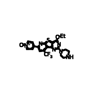 CCOc1nc(N2CCNCC2)nc2c1sc1nc(-c3cc[n+]([O-])cc3)cc(C(F)(F)F)c12